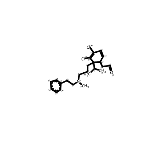 CC(C)C1(CCCN(C)CCc2ccccc2)C(Cl)=C(Cl)C=CC1CC=O